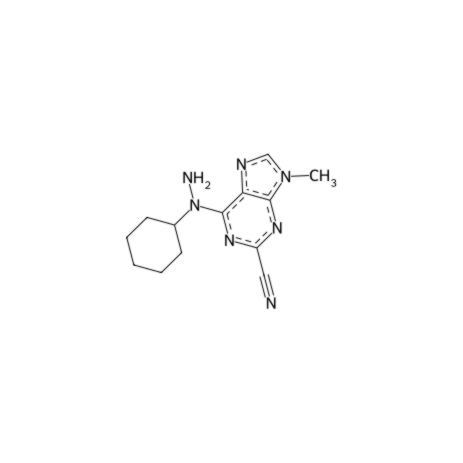 Cn1cnc2c(N(N)C3CCCCC3)nc(C#N)nc21